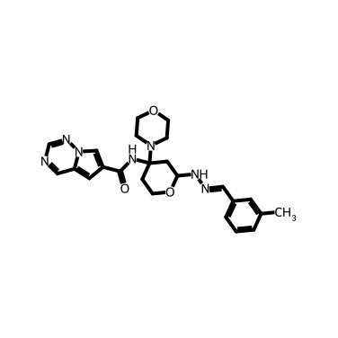 Cc1cccc(/C=N/NC2CC(NC(=O)c3cc4cncnn4c3)(N3CCOCC3)CCO2)c1